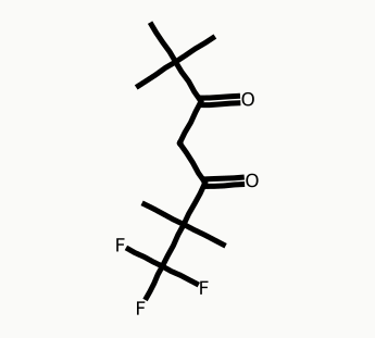 CC(C)(C)C(=O)CC(=O)C(C)(C)C(F)(F)F